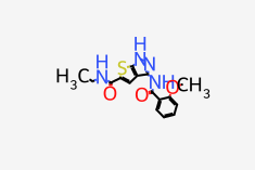 CCNC(=O)c1cc2c(NC(=O)c3ccccc3OC)n[nH]c2s1